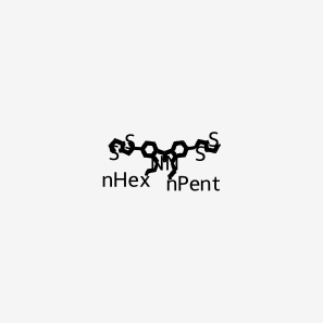 CCCCC/C=C/n1c2cc(-c3cc4sccc4s3)ccc2c2c3ccc(-c4cc5sccc5s4)cc3n(/C=C/CCCCCC)c21